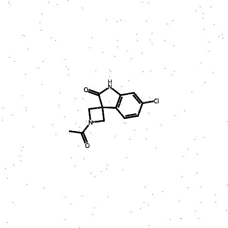 CC(=O)N1CC2(C1)C(=O)Nc1cc(Cl)ccc12